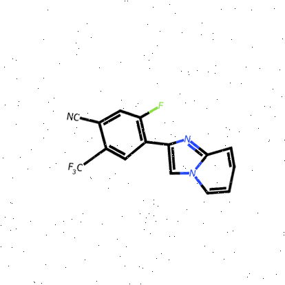 N#Cc1cc(F)c(-c2cn3ccccc3n2)cc1C(F)(F)F